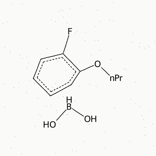 CCCOc1ccccc1F.OBO